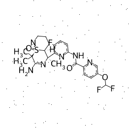 CC1(C)C(N)=N[C@](C)(c2nc(NC(=O)c3ccc(OC(F)F)cn3)ccc2F)[C@@H]2CCCN=[S@@]21=O